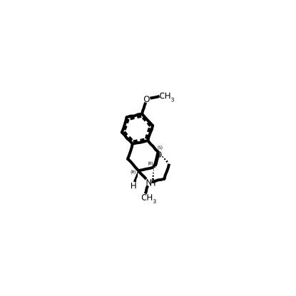 COc1ccc2c(c1)[C@]13CCN(C)[C@H](C2)[C@@H]1CCOC3